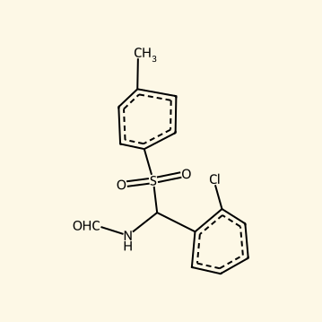 Cc1ccc(S(=O)(=O)C(NC=O)c2ccccc2Cl)cc1